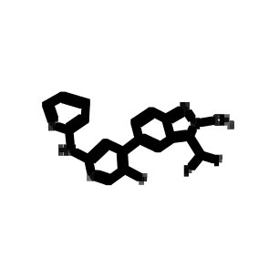 Cn1nc2ccc(-c3cc(Nc4ccccn4)ncc3F)cc2c1C(F)F